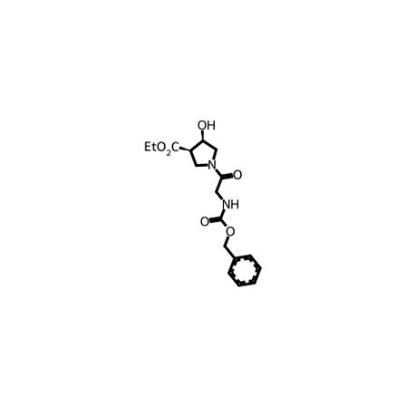 CCOC(=O)[C@@H]1CN(C(=O)CNC(=O)OCc2ccccc2)C[C@@H]1O